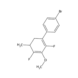 COC1=C(F)C(C)CC(c2ccc(Br)cc2)=C1F